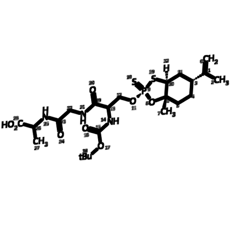 C=C(C)[C@@H]1CC[C@]2(C)O[P@](=S)(OCC(NC(=O)OC(C)(C)C)C(=O)NCC(=O)NC(C)C(=O)O)S[C@H]2C1